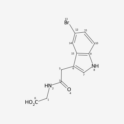 O=C(O)CNC(=O)Cc1c[nH]c2ccc(Br)cc12